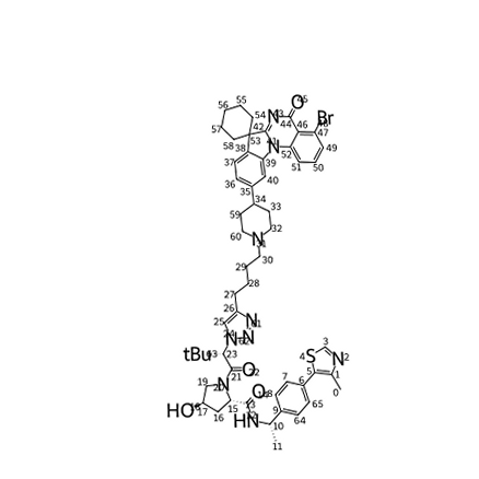 Cc1ncsc1-c1ccc([C@H](C)NC(=O)[C@@H]2C[C@@H](O)CN2C(=O)[C@@H](n2cc(CCCCN3CCC(c4ccc5c(c4)-n4c(nc(=O)c6c(Br)cccc64)C54CCCCC4)CC3)nn2)C(C)(C)C)cc1